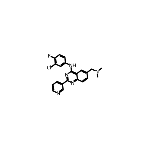 CN(C)Cc1ccc2nc(-c3cccnc3)nc(Nc3ccc(F)c(Cl)c3)c2c1